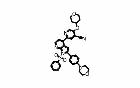 N#Cc1cc(-c2ccnc3c2cc(-c2ccc(N4CCOCC4)cc2)n3S(=O)(=O)c2ccccc2)ncc1OC1CCOCC1